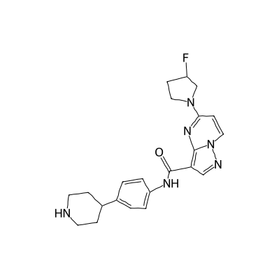 O=C(Nc1ccc(C2CCNCC2)cc1)c1cnn2ccc(N3CCC(F)C3)nc12